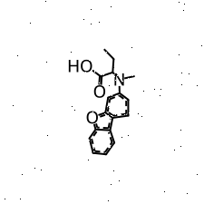 CCC(C(=O)O)N(C)c1ccc2c(c1)oc1ccccc12